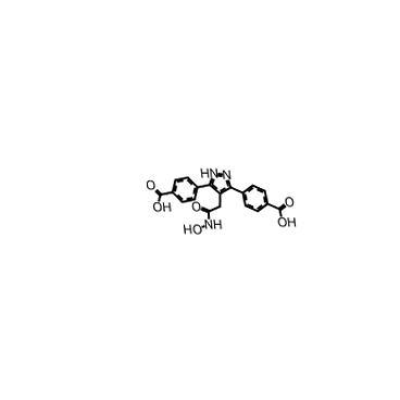 O=C(Cc1c(-c2ccc(C(=O)O)cc2)n[nH]c1-c1ccc(C(=O)O)cc1)NO